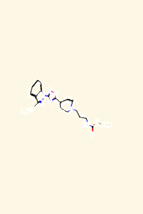 Cc1nn(-c2noc(C3CCN(CCCNC(=O)OC(C)(C)C)CC3)n2)c2ccccc12